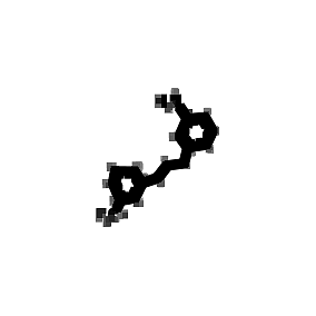 Nc1cccc(CCCc2cccc(C(F)(F)F)c2)c1